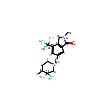 CC1CCN(Cc2cc3c(c(C(F)(F)F)c2)CN(C)C3=O)CC1(F)F